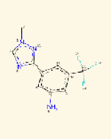 Cn1cnc(-c2cc(N)cc(C(F)(F)F)c2)n1